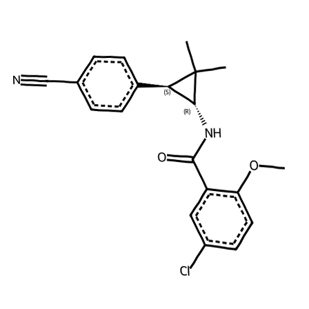 COc1ccc(Cl)cc1C(=O)N[C@@H]1[C@@H](c2ccc(C#N)cc2)C1(C)C